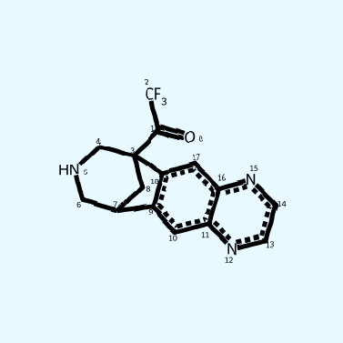 O=C(C(F)(F)F)C12CNCC(C1)c1cc3nccnc3cc12